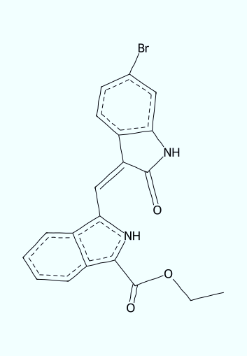 CCOC(=O)c1[nH]c(C=C2C(=O)Nc3cc(Br)ccc32)c2ccccc12